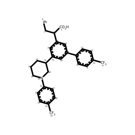 CC(C)CC(C(=O)O)c1cc(-c2ccc(C(F)(F)F)cc2)cc(C2CCCN(c3ccc(C(F)(F)F)cc3)C2)c1